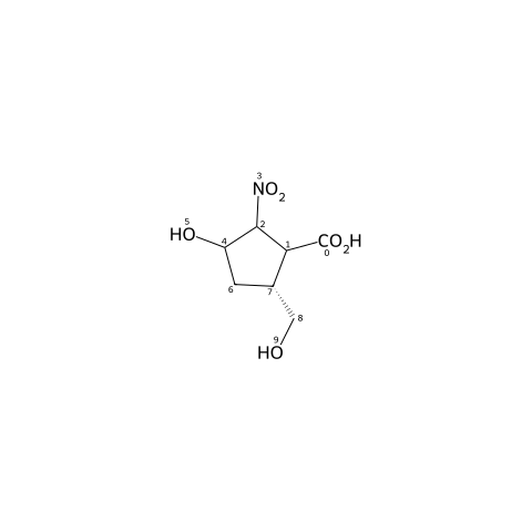 O=C(O)C1C([N+](=O)[O-])C(O)C[C@H]1CO